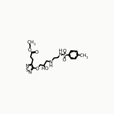 CCOC(=O)CCc1nsnc1OCC(O)CNCCNS(=O)(=O)c1ccc(C)cc1